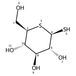 OC[C@H]1S[C@@H](S)[C@H](O)[C@@H](O)[C@@H]1O